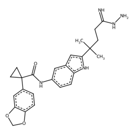 CC(C)(CCC(=N)NN)c1cc2cc(NC(=O)C3(c4ccc5c(c4)OCO5)CC3)ccc2[nH]1